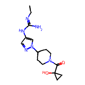 CC/N=C(\N)Nc1cnn(C2CCN(C(=O)C3(O)CC3)CC2)c1